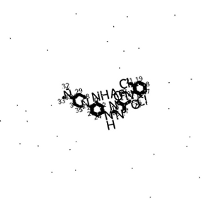 CC(=O)Nc1cc(Nc2ncc3c(n2)OCN(c2c(Cl)cccc2Cl)C3=O)ccc1N1CCC(N(C)C)CC1